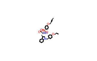 C=CCOc1ccc(Cn2cc(C[C@@H](NS(=O)(=O)c3ccc(OCC#CC)cc3)C(=O)O)c3ccccc32)cc1